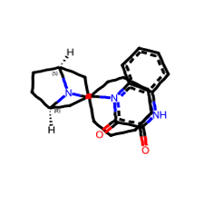 O=c1[nH]c2ccccc2n(C2C[C@H]3CC[C@@H](C2)N3C2CCCCCCC2)c1=O